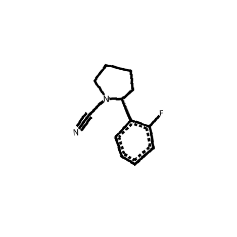 N#CN1CCCCC1c1ccccc1F